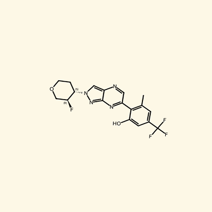 Cc1cc(C(F)(F)F)cc(O)c1-c1cnc2cn([C@H]3CCOC[C@@H]3F)nc2n1